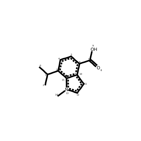 CC(C)c1ccc(C(=O)O)c2ccn(C)c12